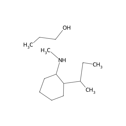 CCC(C)C1CCCCC1NC.CCCO